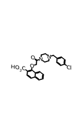 O=C(O)c1ccc2ccccc2c1OCC(=O)N1CCN(Cc2ccc(Cl)cc2)CC1